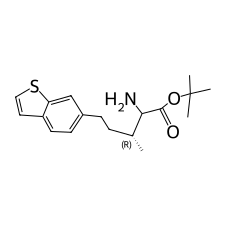 C[C@H](CCc1ccc2ccsc2c1)C(N)C(=O)OC(C)(C)C